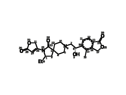 CCC1CC2(CCN(C[C@@H](O)c3ccc4c(c3C)COC4=O)CC2)C(=O)N1C1=CC(=O)OC1